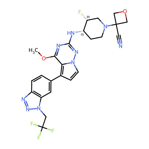 COc1nc(N[C@H]2CCN(C3(C#N)COC3)C[C@H]2F)nn2ccc(-c3ccc4nnn(CC(F)(F)F)c4c3)c12